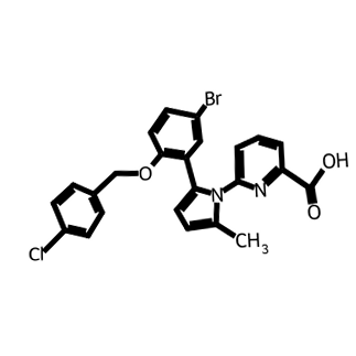 Cc1ccc(-c2cc(Br)ccc2OCc2ccc(Cl)cc2)n1-c1cccc(C(=O)O)n1